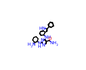 NC(=O)c1cnc(N[C@@H]2CCCC[C@@H]2N)nc1NC1C=CC=C2NC(c3ccccc3)=CC21